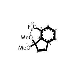 COC1(OC)C=Cc2cccc(C(F)(F)F)c21